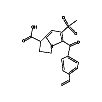 C=Cc1ccc(C(=O)c2c(S(C)(=O)=O)cc3n2CCC3C(=O)O)cc1